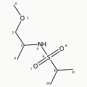 COCC(C)NS(=O)(=O)C(C)C